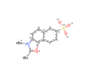 CCCC[n+]1c(C(C)(C)C)oc2c3ccc(S(=O)(=O)[O-])cc3ccc21